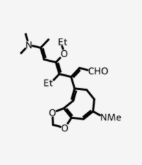 CCOC(/C=C(\C)N(C)C)=C(CC)\C(=C\C=O)C1=C/C2=C(/C=C(/NC)CC/1)OCO2